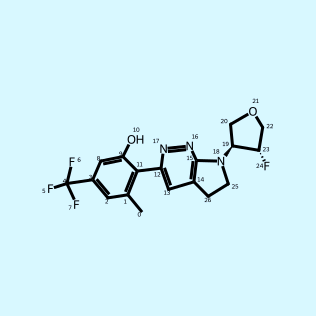 Cc1cc(C(F)(F)F)cc(O)c1-c1cc2c(nn1)N([C@H]1COC[C@@H]1F)CC2